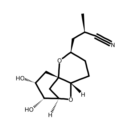 C[C@@H](C#N)C[C@H]1CC[C@@H]2O[C@@H]3C[C@]2(C[C@@H](O)[C@H]3O)O1